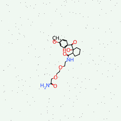 COc1ccc(C(=O)C2(O)CCCCC2C(=O)NCCOCCOCC(N)=O)cc1